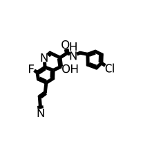 N#CC=Cc1cc(F)c2ncc(C(=O)NCc3ccc(Cl)cc3)c(O)c2c1